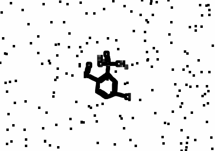 CP(C)(=O)c1cc(Cl)ccc1N=O